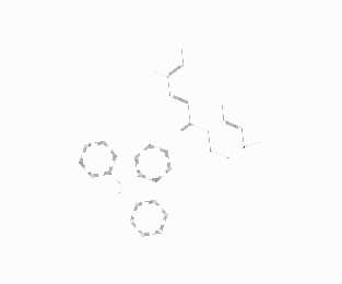 Br[PH](c1ccccc1)(c1ccccc1)c1ccccc1.CC=C(C)C=CC(=O)C1C(C)=CC(C)(C)CC1O